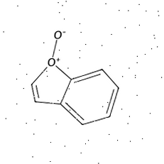 [O-][o+]1ccc2ccccc21